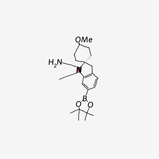 CO[C@H]1CC[C@]2(CC1)Cc1ccc(B3OC(C)(C)C(C)(C)O3)cc1C21N=C(C)C(N)=N1